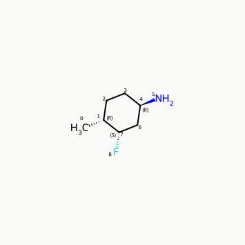 C[C@@H]1CC[C@@H](N)C[C@@H]1F